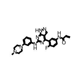 C=CC(=O)Nc1ccc(F)c(-c2nc(Nc3cccc(N4CCN(C)CC4)c3)nc3[nH]ncc23)c1